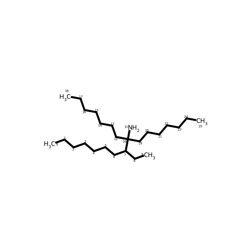 CCCCCCCC(CC)C(N)(CCCCCCC)CCCCCCC